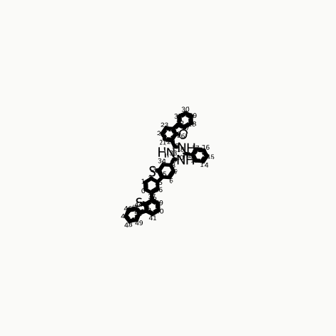 C1=CC2SC3=C(C=CC(C4NC(c5ccccc5)NC(c5cccc6c5oc5ccccc56)N4)C3)C2C=C1c1cccc2c1sc1ccccc12